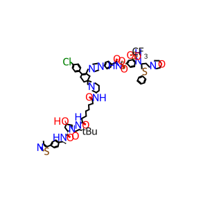 Cc1ncsc1-c1ccc([C@H](C)NC(=O)[C@@H]2C[C@@H](O)CN2C(=O)C(NC(=O)CCCCCCC(=O)N[C@H]2CCCN(CC3(C)CCC(c4ccc(Cl)cc4)=C(CN4CCN(c5ccc(C(=O)NS(=O)(=O)c6ccc(NC(CCN7CCOCC7)CSc7ccccc7)c(S(=O)(=O)C(F)(F)F)c6)cc5)CC4)C3)C2)C(C)(C)C)cc1